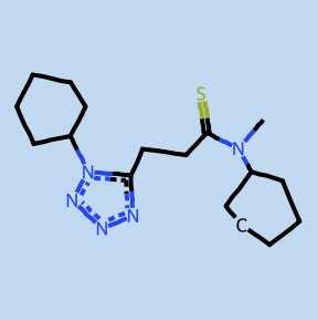 CN(C(=S)CCc1nnnn1C1CCCCC1)C1CCCCC1